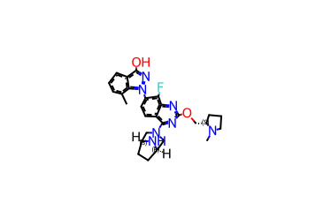 Cc1cccc2c(O)nn(-c3ccc4c(N5C[C@H]6CC[C@@H](C5)N6)nc(OC[C@@H]5CCCN5C)nc4c3F)c12